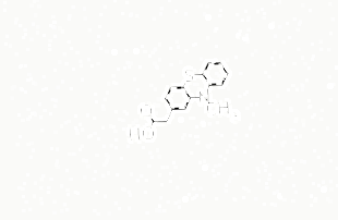 CN1c2ccccc2Sc2ccc(CC(=O)O)cc21